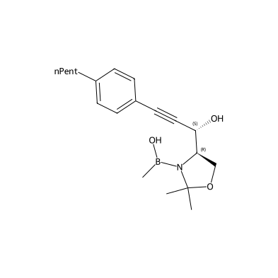 CCCCCc1ccc(C#C[C@H](O)[C@H]2COC(C)(C)N2B(C)O)cc1